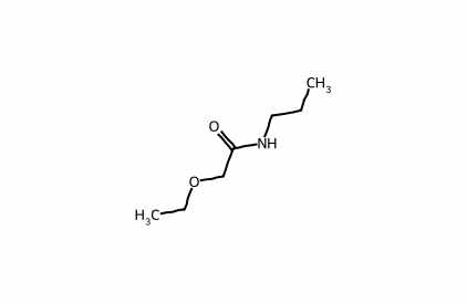 CCCNC(=O)COCC